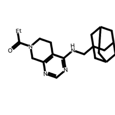 CCC(=O)N1CCc2c(ncnc2NCC23CC4CC(CC(C4)C2)C3)C1